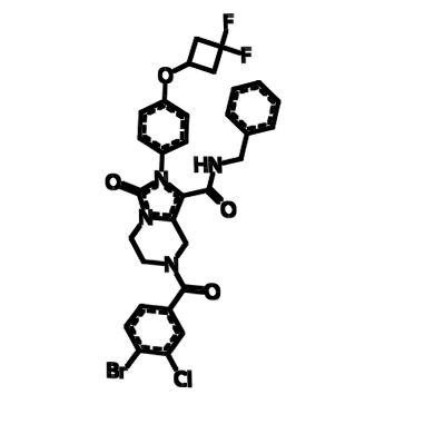 O=C(NCc1ccccc1)c1c2n(c(=O)n1-c1ccc(OC3CC(F)(F)C3)cc1)CCN(C(=O)c1ccc(Br)c(Cl)c1)C2